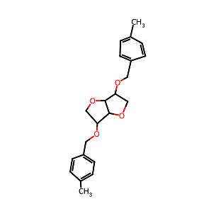 Cc1ccc(COC2COC3C(OCc4ccc(C)cc4)COC23)cc1